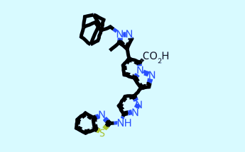 Cc1c(-c2ccc3c(-c4ccc(Nc5nc6ccccc6s5)nn4)cnn3c2C(=O)O)cnn1CC12CC3CC(CC(C3)C1)C2